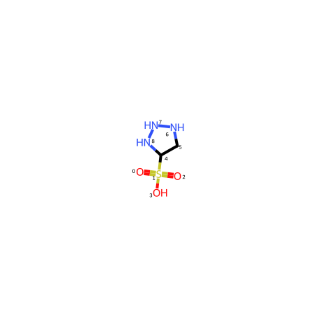 O=S(=O)(O)C1CNNN1